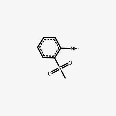 CS(=O)(=O)c1ccccc1[NH]